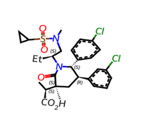 CC[C@@H](CN(C)S(=O)(=O)C1CC1)N1C(=O)[C@](C)([C@H](C)C(=O)O)C[C@H](c2cccc(Cl)c2)[C@H]1c1ccc(Cl)cc1